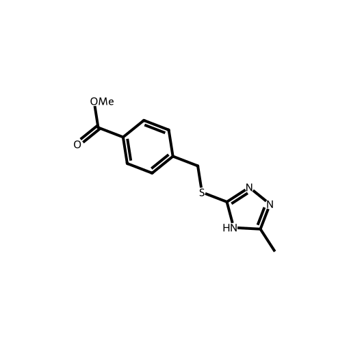 COC(=O)c1ccc(CSc2nnc(C)[nH]2)cc1